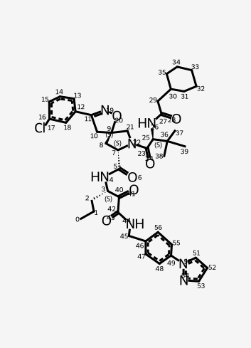 CCC[C@H](NC(=O)[C@@H]1C[C@]2(CC(c3cccc(Cl)c3)=NO2)CN1C(=O)[C@@H](NC(=O)CC1CCCCC1)C(C)(C)C)C(=O)C(=O)NCc1ccc(-n2cccn2)cc1